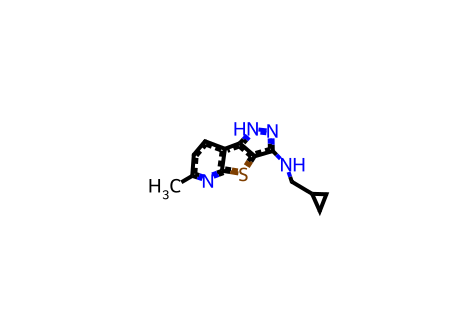 Cc1ccc2c(n1)sc1c(NCC3CC3)n[nH]c12